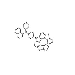 c1ccc(N(c2ccc(-n3c4ccc5sc6ccccc6c5c4c4c5c(ccc43)sc3ccccc35)cc2)c2cccc3ccccc23)cc1